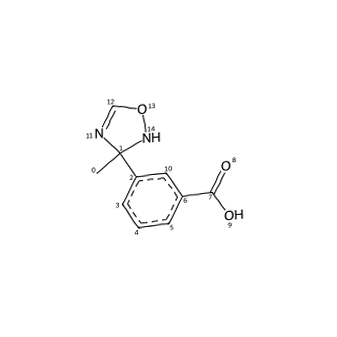 CC1(c2cccc(C(=O)O)c2)N=CON1